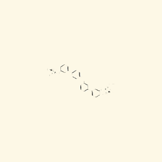 O=S(=O)(Oc1cccc(-c2ccc(Oc3cccc(-c4cccc(OS(=O)(=O)C(F)(F)F)c4)c3)cc2)c1)C(F)(F)F